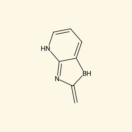 C=C1BC2=CC=CNC2=N1